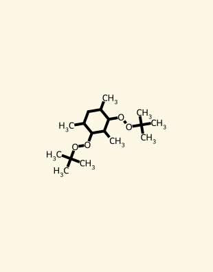 CC1CC(C)C(OOC(C)(C)C)C(C)C1OOC(C)(C)C